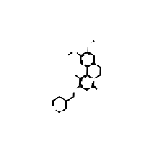 COc1cc2c(cc1OC)-c1c(C)c(OCC3CCOCC3)cc(=O)n1CC2